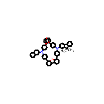 CC1(C)c2ccccc2-c2ccc(N(c3ccc(-c4ccccc4)cc3)c3ccc(-c4cccc5c4oc4c(-c6ccc(N(c7ccc(-c8ccccc8)cc7)c7ccc8ccccc8c7)cc6)cccc45)cc3)cc21